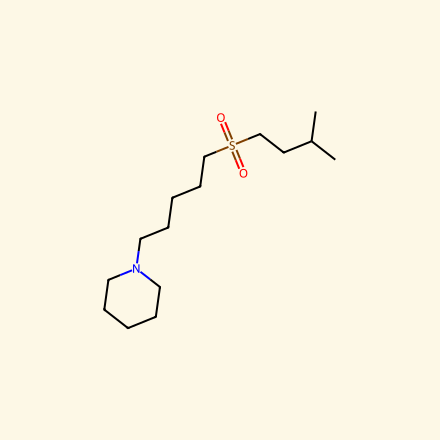 CC(C)CCS(=O)(=O)CCCCCN1CCCCC1